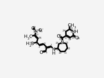 BC(C=C/C(C=O)=C/NC1CCCCN(C(=O)C2=CC(=O)NC(C)C2)C1)/C=C(\C)[N+](=O)[O-]